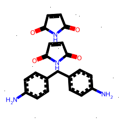 Nc1ccc(Cc2ccc(N)cc2)cc1.O=C1C=CC(=O)N1.O=C1C=CC(=O)N1